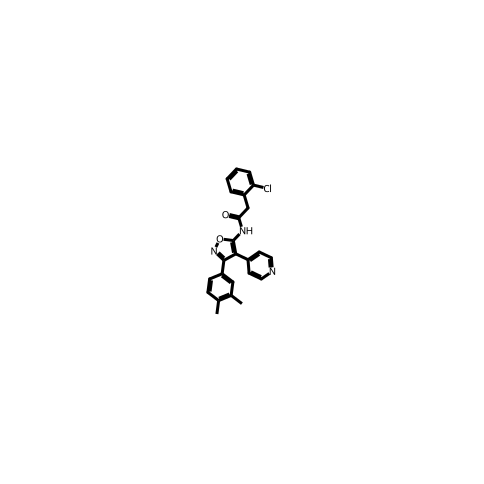 Cc1ccc(-c2noc(NC(=O)Cc3ccccc3Cl)c2-c2ccncc2)cc1C